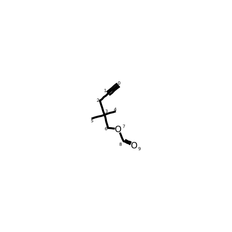 C#CCC(C)(C)COC=O